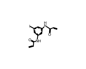 C=CC(=O)Nc1cc(I)cc(NC(=O)C=C)c1